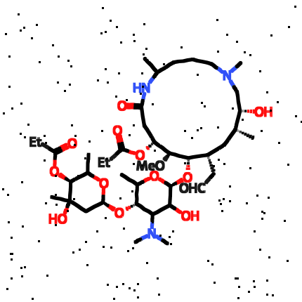 CCC(=O)O[C@@H]1CC(=O)NC(C)CCCN(C)C[C@H](O)[C@H](C)C[C@H](CC=O)[C@H](O[C@@H]2OC(C)[C@@H](O[C@H]3CC(C)(O)[C@@H](OC(=O)CC)C(C)O3)C(N(C)C)C2O)[C@H]1OC